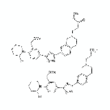 CCC1CCCCN1c1ccc(-c2nc(-c3ccc4c(c3)CN(CCC(=O)O)CC4)no2)cc1COC.CCC1CCCCN1c1ccc(-c2nc(-c3ccc4c(c3)CN(CCC(=O)OC(C)(C)C)CC4)no2)cc1COC